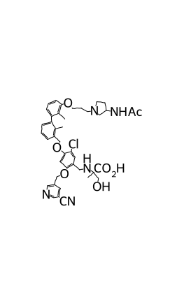 CC(=O)NC1CCN(CCCOc2cccc(-c3cccc(COc4cc(OCc5cncc(C#N)c5)c(CNC(C)(CO)C(=O)O)cc4Cl)c3C)c2C)C1